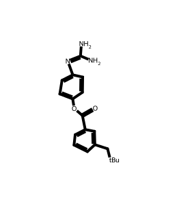 CC(C)(C)Cc1cccc(C(=O)Oc2ccc(N=C(N)N)cc2)c1